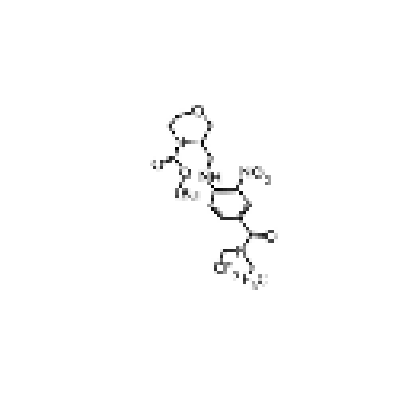 CC(C)(C)OC(=O)N1CCOCC1CNc1ccc(C(=O)N(CC(F)(F)F)CC(F)(F)F)cc1[N+](=O)[O-]